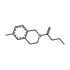 C=C(CCC)N1CCc2cc(C)ccc2C1